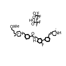 COCCC[N+]1(C)CCN(Cc2cccc(C(=O)NCc3ccc(F)c(-c4cccc(CN5CCN[C@@H](C)C5)c4)c3)c2)CC1.O=C(O)C(F)(F)F.O=C([O-])C(F)(F)F